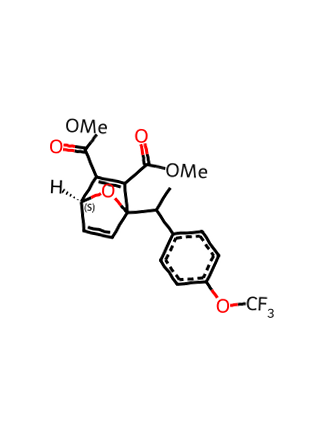 COC(=O)C1=C(C(=O)OC)C2(C(C)c3ccc(OC(F)(F)F)cc3)C=C[C@@H]1O2